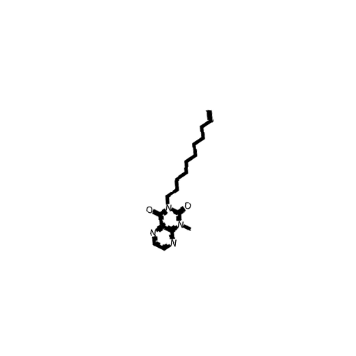 C=CCCCCCCCCCn1c(=O)c2nccnc2n(C)c1=O